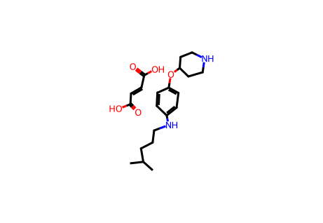 CC(C)CCCNc1ccc(OC2CCNCC2)cc1.O=C(O)/C=C/C(=O)O